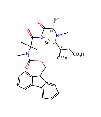 CC[C@H](C)[C@@H]([C@@H](CC(=O)O)OC)N(C)[C@H](C(=O)NC(=O)C(C)(C)N(C)C(=O)OCC1c2ccccc2-c2ccccc21)C(C)C